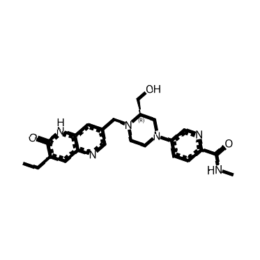 CCc1cc2ncc(CN3CCN(c4ccc(C(=O)NC)nc4)C[C@@H]3CO)cc2[nH]c1=O